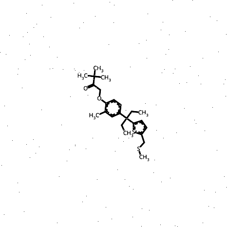 CCC(CC)(c1ccc(OCC(=O)C(C)(C)C)c(C)c1)c1ccc(CSC)s1